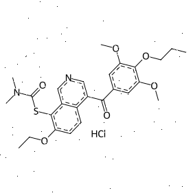 CCCOc1c(OC)cc(C(=O)c2cncc3c(SC(=O)N(C)C)c(OCC)ccc23)cc1OC.Cl